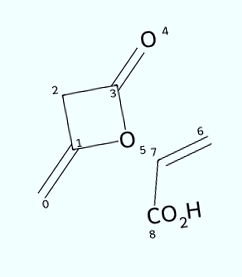 C=C1CC(=O)O1.C=CC(=O)O